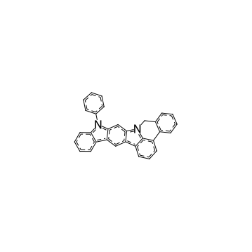 c1ccc(-n2c3ccccc3c3cc4c5cccc6c5n(c4cc32)Cc2ccccc2-6)cc1